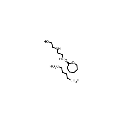 O=C(O)CCCCC(=O)O.O=C1CCCCCO1.OCCNCCO